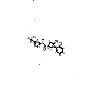 O=C(Nc1ncc(C(F)(F)F)s1)C1CC(=O)N(c2ccccc2Cl)C1